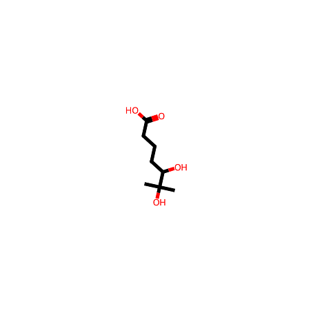 CC(C)(O)C(O)CCCC(=O)O